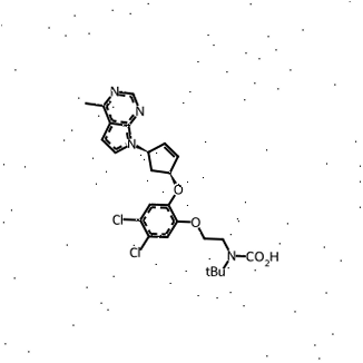 Cc1ncnc2c1ccn2[C@H]1C=C[C@@H](Oc2cc(Cl)c(Cl)cc2OCCN(C(=O)O)C(C)(C)C)C1